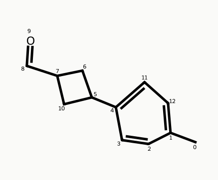 Cc1ccc(C2CC(C=O)C2)cc1